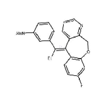 CC/C(=C1\c2ccc(F)cc2OCc2ncccc21)c1cccc(NC)c1